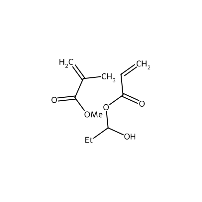 C=C(C)C(=O)OC.C=CC(=O)OC(O)CC